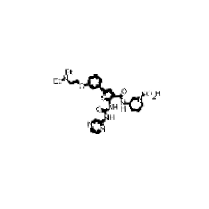 CCN(CC)CCOc1cccc(-c2cc(C(=O)NC3CCCN(C(=O)O)C3)c(NC(=O)Nc3cnccn3)s2)c1